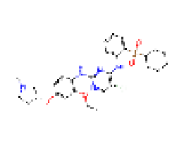 CCOc1cc(O[C@@H]2CCN(C)C2)ccc1Nc1ncc(Cl)c(Nc2ccccc2S(=O)(=O)C2CCCCC2)n1